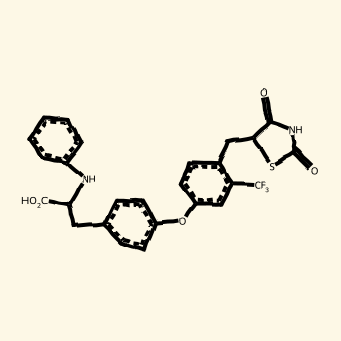 O=C1NC(=O)C(Cc2ccc(Oc3ccc(CC(Nc4ccccc4)C(=O)O)cc3)cc2C(F)(F)F)S1